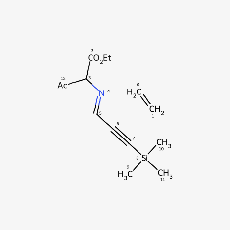 C=C.CCOC(=O)C(/N=C/C#C[Si](C)(C)C)C(C)=O